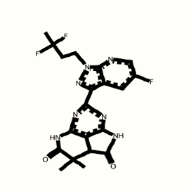 CC(F)(F)CCn1nc(-c2nc3c4c(n2)NC(=O)C4(C)C(C)(C)C(=O)N3)c2cc(F)cnc21